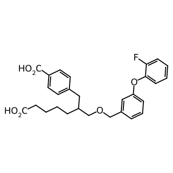 O=C(O)CCCCC(COCc1cccc(Oc2ccccc2F)c1)Cc1ccc(C(=O)O)cc1